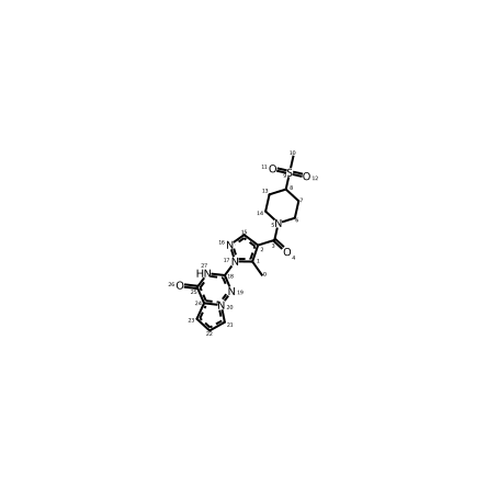 Cc1c(C(=O)N2CCC(S(C)(=O)=O)CC2)cnn1-c1nn2cccc2c(=O)[nH]1